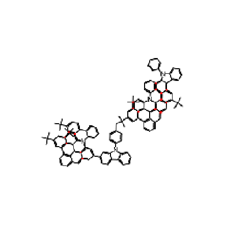 CC(C)(C)c1ccc(-c2ccccc2N(c2cccc(-c3ccc4c5ccccc5n(-c5ccc(CC(C)(C)c6cc(-c7cccc8cccc(-c9ccccc9N(c9ccccc9-c9ccc(C(C)(C)C)cc9)c9ccccc9-c9ccc%10c(c9)c9ccccc9n%10-c9ccccc9)c78)cc(C(C)(C)C)c6)cc5)c4c3)c2)c2ccccc2-c2cccc3cccc(-c4cc(C(C)(C)C)cc(C(C)(C)C)c4)c23)cc1